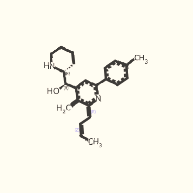 C=c1c([C@@H](O)[C@H]2CCCCN2)cc(-c2ccc(C)cc2)n/c1=C/C=C\C